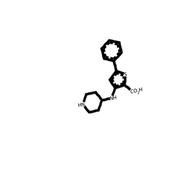 O=C(O)c1sc(-c2ccccc2)cc1NC1CCNCC1